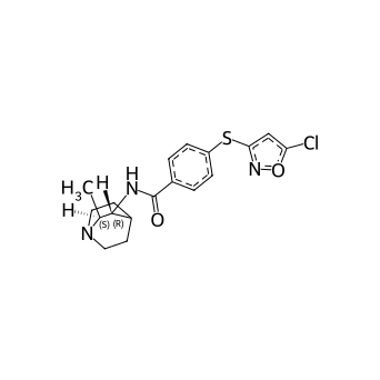 C[C@H]1[C@H](NC(=O)c2ccc(Sc3cc(Cl)on3)cc2)C2CCN1CC2